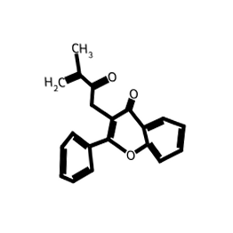 C=C(C)C(=O)Cc1c(-c2ccccc2)oc2ccccc2c1=O